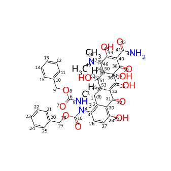 C[C@H]1c2c(N(NC(=O)OCc3ccccc3)C(=O)OCc3ccccc3)ccc(O)c2C(=O)C2=C(O)[C@]3(O)C(=O)C(C(N)=O)=C(O)[C@@H](N(C)C)[C@@H]3[C@@H](O)[C@@H]21